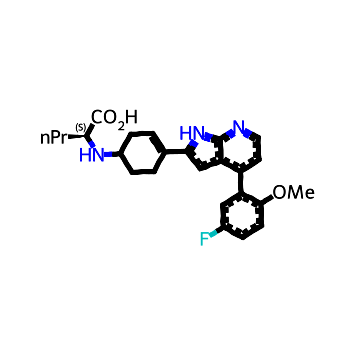 CCC[C@H](NC1CC=C(c2cc3c(-c4cc(F)ccc4OC)ccnc3[nH]2)CC1)C(=O)O